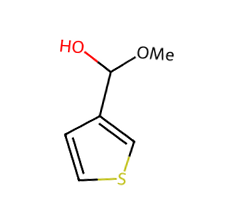 COC(O)c1ccsc1